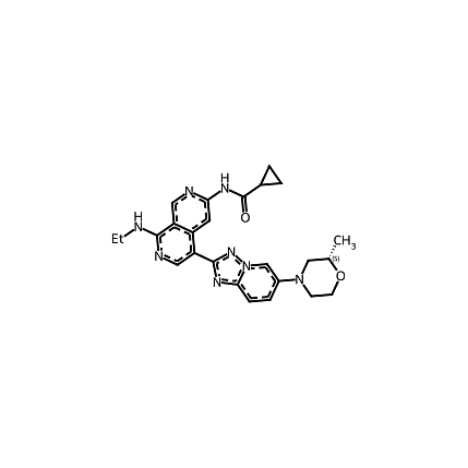 CCNc1ncc(-c2nc3ccc(N4CCO[C@@H](C)C4)cn3n2)c2cc(NC(=O)C3CC3)ncc12